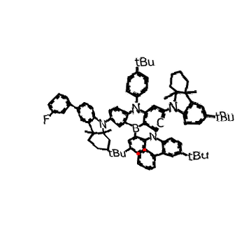 CC(C)(C)c1ccc(N2c3ccc(N4c5ccc(-c6cccc(F)c6)cc5C5(C)CCCCC45C)cc3B3c4cc(C(C)(C)C)ccc4N(c4ccc(C(C)(C)C)cc4-c4ccccc4)c4cc(N5c6ccc(C(C)(C)C)cc6C6(C)CCCCC56C)cc2c43)cc1